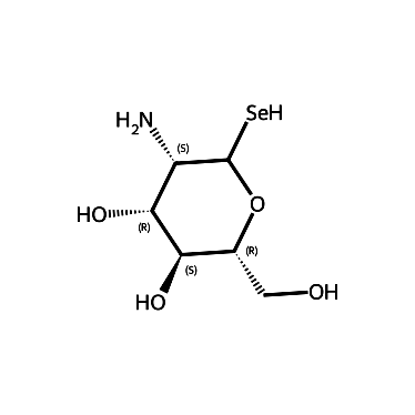 N[C@@H]1C([SeH])O[C@H](CO)[C@@H](O)[C@@H]1O